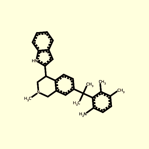 Cc1ccc(N)c(C(C)(C)c2ccc3c(c2)CN(C)CC3c2cc3ccccc3[nH]2)c1C